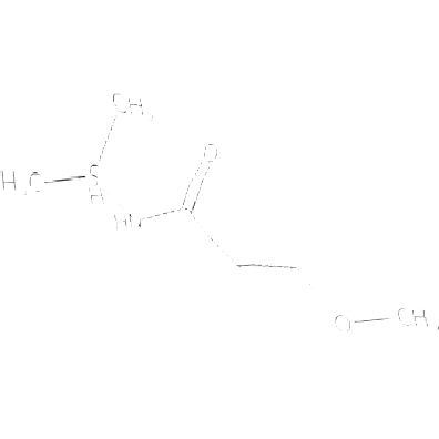 COCCC(=O)N[SH](C)C